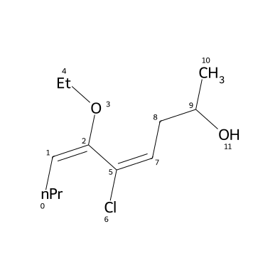 CCC/C=C(OCC)\C(Cl)=C/CC(C)O